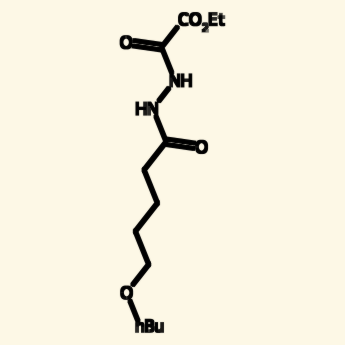 CCCCOCCCCC(=O)NNC(=O)C(=O)OCC